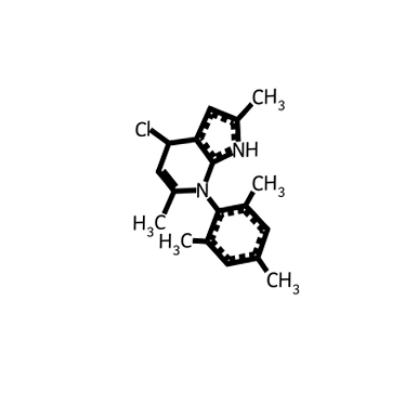 CC1=CC(Cl)c2cc(C)[nH]c2N1c1c(C)cc(C)cc1C